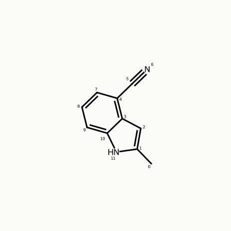 Cc1cc2c(C#N)cccc2[nH]1